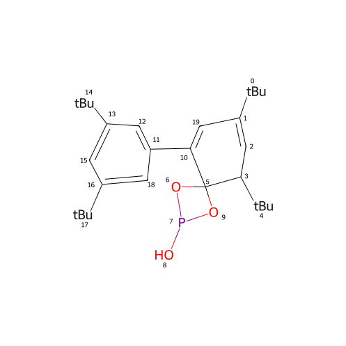 CC(C)(C)C1=CC(C(C)(C)C)C2(OP(O)O2)C(c2cc(C(C)(C)C)cc(C(C)(C)C)c2)=C1